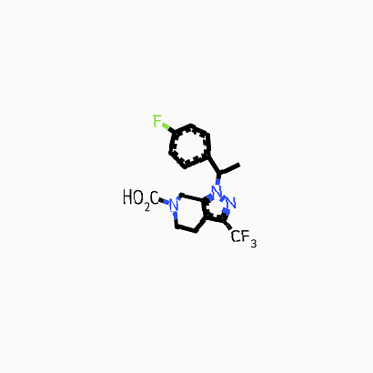 CC(c1ccc(F)cc1)n1nc(C(F)(F)F)c2c1CN(C(=O)O)CC2